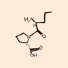 CCC[C@H](N)C(=O)N1CCC[C@H]1C(=O)O